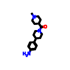 CN1CCC(C(=O)N2CCC(c3ccc(N)cc3)CC2)CC1